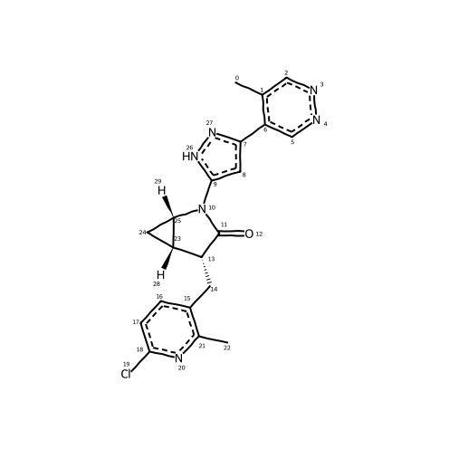 Cc1cnncc1-c1cc(N2C(=O)[C@H](Cc3ccc(Cl)nc3C)[C@@H]3C[C@@H]32)[nH]n1